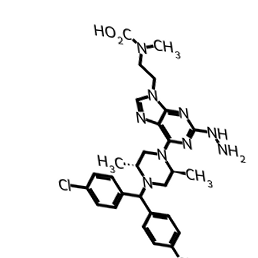 C[C@@H]1CN(c2nc(NN)nc3c2ncn3CCN(C)C(=O)O)[C@@H](C)CN1C(c1ccc(Cl)cc1)c1ccc(Cl)cc1